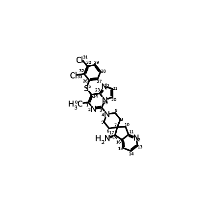 Cc1nc(N2CCC3(CC2)Cc2ncccc2[C@H]3N)n2ccnc2c1Sc1cccc(Cl)c1Cl